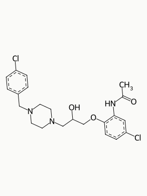 CC(=O)Nc1cc(Cl)ccc1OCC(O)CN1CCN(Cc2ccc(Cl)cc2)CC1